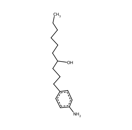 CCCCCCC(O)CCCc1ccc(N)cc1